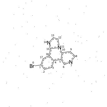 Brc1ccc2c3cnccc3n3ccnc3c2c1